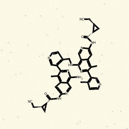 Cc1ccncc1-c1nc(NCc2ccncc2-c2nc(N)c3cnc(NC(=O)[C@@H]4C[C@H]4CC#N)cc3c2C)c2cnc(NC(=O)[C@H]3C[C@@H]3CC#N)cc2c1C